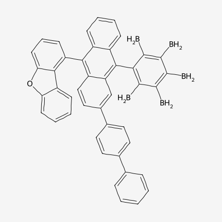 Bc1c(B)c(B)c(-c2c3ccccc3c(-c3cccc4oc5ccccc5c34)c3ccc(-c4ccc(-c5ccccc5)cc4)cc23)c(B)c1B